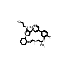 C[C@@H](CNC=N)Oc1cc(/C(C=N)=C/N(C)c2cn(C3CCCCC3)nc2OCCO)ccc1Cl